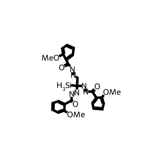 COc1ccccc1C(=O)N=NCC([SiH3])(N=NC(=O)c1ccccc1OC)N=NC(=O)c1ccccc1OC